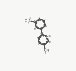 N#Cc1ccc(-c2cccc([N+](=O)[O-])c2)nc1